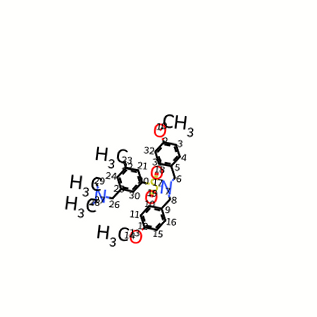 COc1ccc(CN(Cc2ccc(OC)cc2)S(=O)(=O)c2cc(C)cc(CN(C)C)c2)cc1